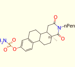 CCCCCN1C(=O)CC2C3CCc4cc(OS(N)(=O)=O)ccc4C3CC[C@]2(C)C1=O